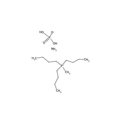 CCCC[P+](C)(CCCC)CCCC.N.O=P([O-])(O)O